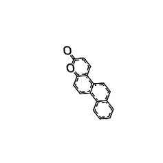 O=c1ccc2c(ccc3c4ccccc4ccc23)o1